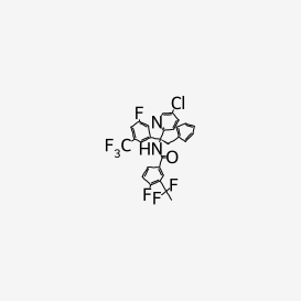 CC(F)(F)c1cc(C(=O)N[C@](Cc2ccccc2)(c2cc(F)cc(C(F)(F)F)c2)c2ccc(Cl)cn2)ccc1F